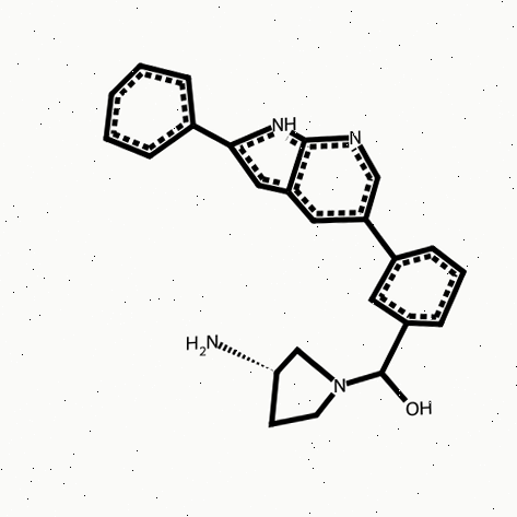 N[C@H]1CCN(C(O)c2cccc(-c3cnc4[nH]c(-c5ccccc5)cc4c3)c2)C1